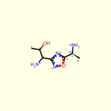 CC(O)C(N)c1noc([C@H](C)N)n1